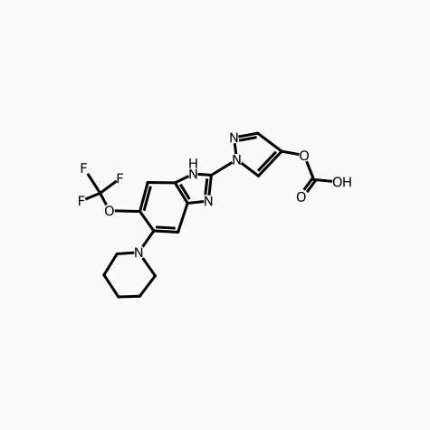 O=C(O)Oc1cnn(-c2nc3cc(N4CCCCC4)c(OC(F)(F)F)cc3[nH]2)c1